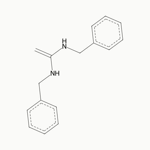 C=C(NCc1ccccc1)NCc1ccccc1